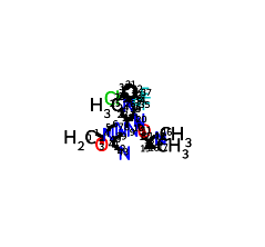 C=CC(=O)N1CCN(c2nc(OCC3(CN(C)C)CC3)nc3c2CC(C)N(c2c(Cl)cccc2C(F)(F)F)C3)CC1CC#N